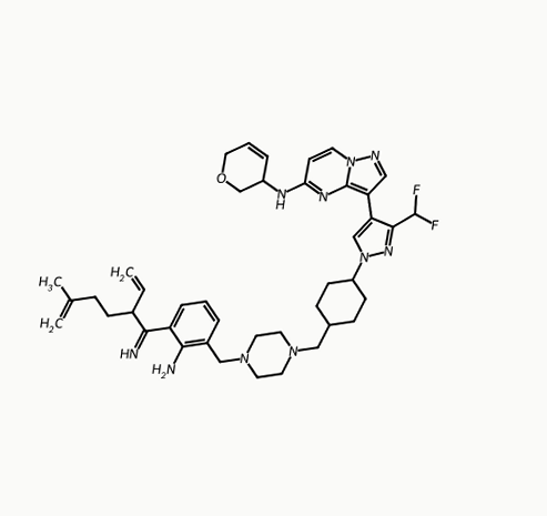 C=CC(CCC(=C)C)C(=N)c1cccc(CN2CCN(CC3CCC(n4cc(-c5cnn6ccc(NC7C=CCOC7)nc56)c(C(F)F)n4)CC3)CC2)c1N